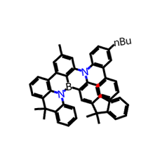 CCCCc1ccc(N2c3cc4c(cc3B3c5c(cc(C)cc52)-c2cccc5c2N3c2ccccc2C5(C)C)C(C)(C)c2ccccc2-4)c(-c2ccccc2)c1